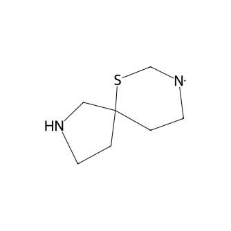 C1CC2(CCNC2)SC[N]1